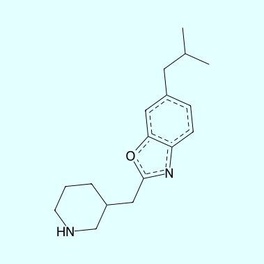 CC(C)Cc1ccc2nc(CC3CCCNC3)oc2c1